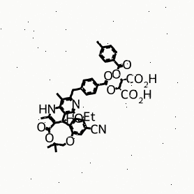 CCOc1nc(Cc2ccc(C(=O)O[C@@H](C(=O)O)[C@@H](OC(=O)c3ccc(C)cc3)C(=O)O)cc2)c(C)c2c1[C@H]1C(=C(C)N2)C(=O)OC(C)(C)COc2cc(C#N)ccc21